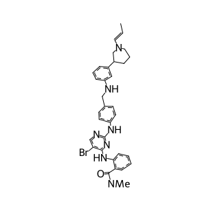 CC=CN1CCCC(c2cccc(NCc3ccc(Nc4ncc(Br)c(Nc5ccccc5C(=O)NC)n4)cc3)c2)C1